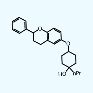 CCCC1(O)CCC(Oc2ccc3c(c2)CCC(c2ccccc2)O3)CC1